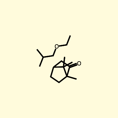 CC12CCC(CC1=O)C2(C)C.CCOCC(C)C